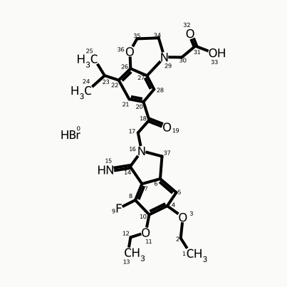 Br.CCOc1cc2c(c(F)c1OCC)C(=N)N(CC(=O)c1cc(C(C)C)c3c(c1)N(CC(=O)O)CCO3)C2